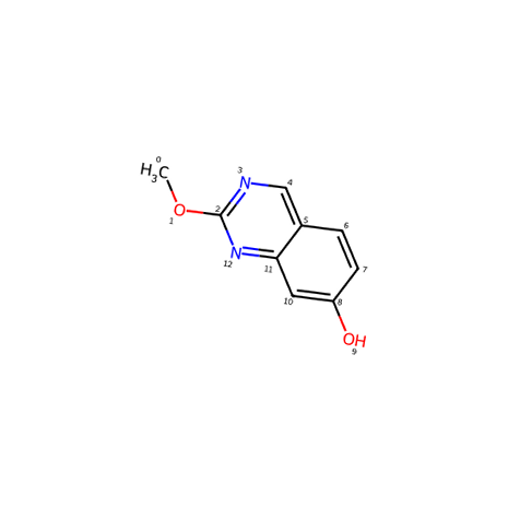 COc1ncc2ccc(O)cc2n1